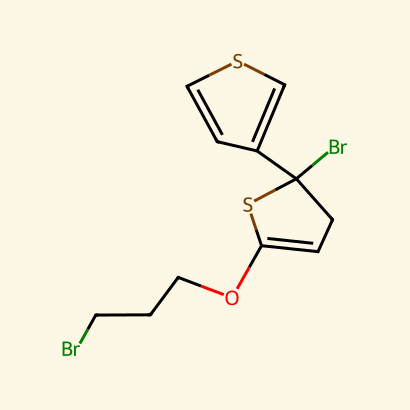 BrCCCOC1=CCC(Br)(c2ccsc2)S1